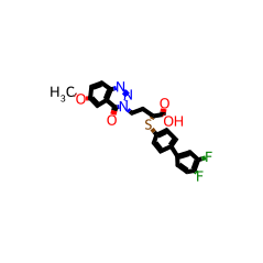 COc1ccc2nnn(CCC(Sc3ccc(-c4ccc(F)c(F)c4)cc3)C(=O)O)c(=O)c2c1